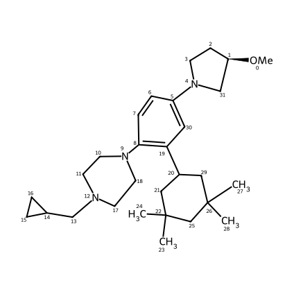 CO[C@@H]1CCN(c2ccc(N3CCN(CC4CC4)CC3)c(C3CC(C)(C)CC(C)(C)C3)c2)C1